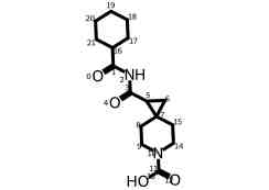 O=C(NC(=O)C1CC12CCN(C(=O)O)CC2)C1CCCCC1